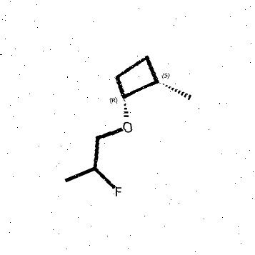 CC(F)CO[C@@H]1CC[C@@H]1C